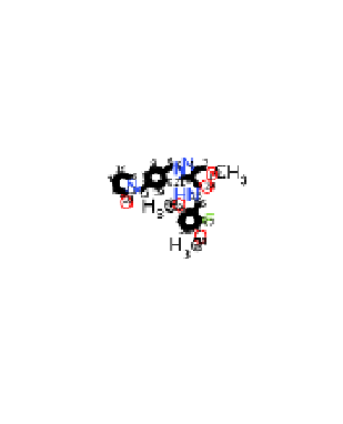 COCc1nn(Cc2ccc(Cn3ccccc3=O)cc2)cc1C(=O)NCc1c(OC)ccc(OC)c1F